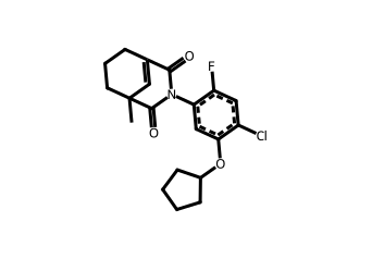 CC12C=C(CCC1)C(=O)N(c1cc(OC3CCCC3)c(Cl)cc1F)C2=O